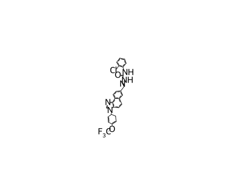 O=C(N/N=C/c1ccc2c(ccc3c2ncn3C2C=CC(OC(F)(F)F)=CC2)c1)Nc1ccccc1Cl